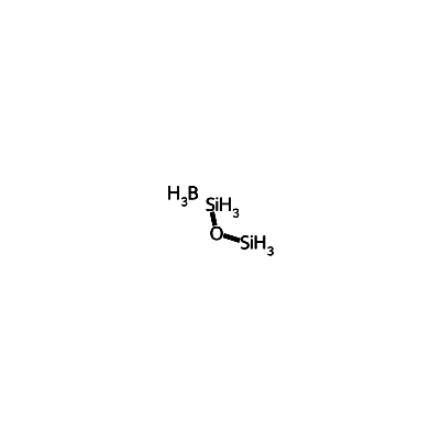 B.[SiH3]O[SiH3]